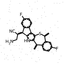 C=C1Sc2c([nH]c3c2-c2ccc(F)cc2/C3=C(\C#N)CN)C(=C)c2ccc(F)cc21